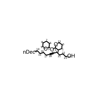 C1CCC(OC2CCCCO2)OC1.CCCCCCCCCCCCCCC#CCCCCO